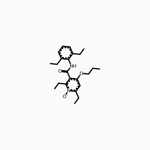 CCCOc1cc(CC)[n+]([O-])c(CC)c1C(=O)Nc1c(CC)cccc1CC